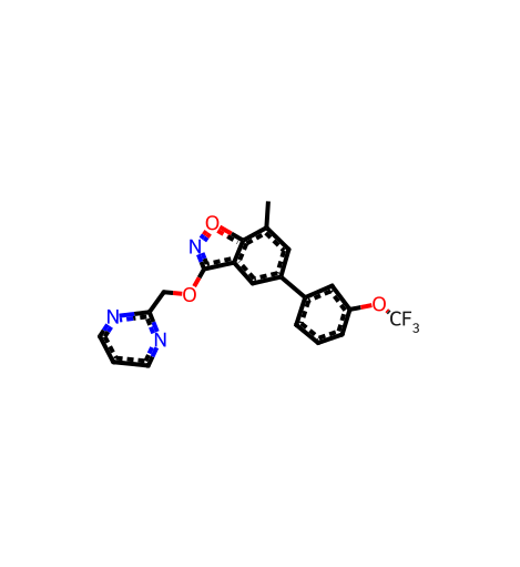 Cc1cc(-c2cccc(OC(F)(F)F)c2)cc2c(OCc3ncccn3)noc12